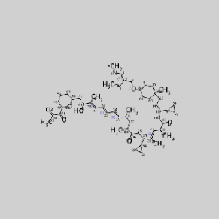 C=C/C(=C\N=C)COC1CCC(C)(CCC(CC(=O)C(C)/C=C(\C)C(CC(=O)C(C)CC(C)/C=C/C=C/C=C(\C)C(O)CC2CCCC(C(=O)C(C)=O)O2)C2CC2)C2CC2)CC1